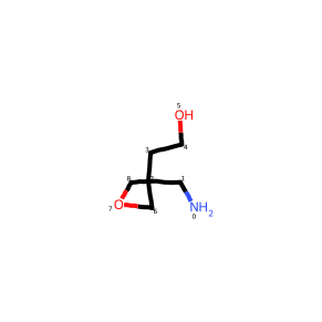 NCC1(CCO)COC1